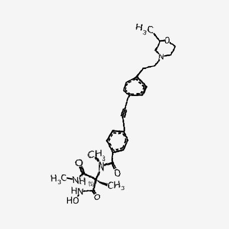 CNC(=O)[C@@](C)(C(=O)NO)N(C)C(=O)c1ccc(C#Cc2ccc(CCN3CCOC(C)C3)cc2)cc1